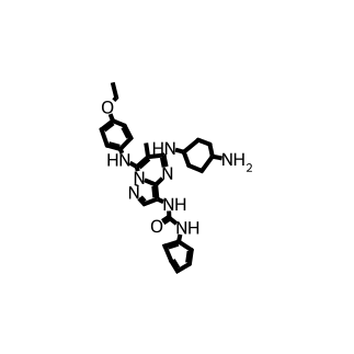 CCOc1ccc(Nc2c(C)c(NC3CCC(N)CC3)nc3c(NC(=O)Nc4ccccc4)cnn23)cc1